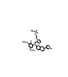 COc1cc(OC)c(F)c(N(Cc2nccn2CCO[Si](C)(C)C(C)(C)C)c2ccc3ncc(-c4cnn(C)c4)nc3n2)c1